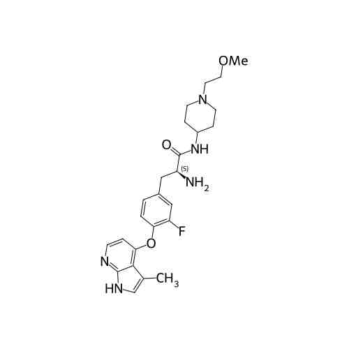 COCCN1CCC(NC(=O)[C@@H](N)Cc2ccc(Oc3ccnc4[nH]cc(C)c34)c(F)c2)CC1